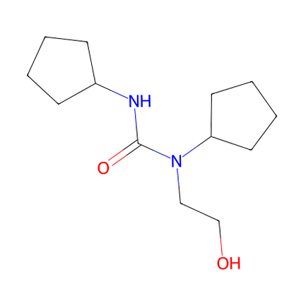 O=C(NC1CCCC1)N(CCO)C1CCCC1